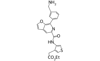 CCOC(=O)Cc1cscc1NC(=O)c1cc2ccoc2c(-c2cccc(CN)c2)n1